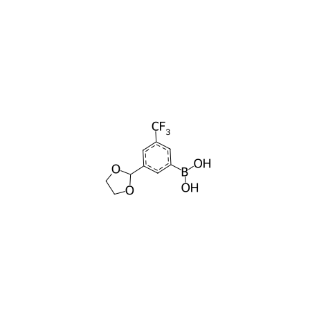 OB(O)c1cc(C2OCCO2)cc(C(F)(F)F)c1